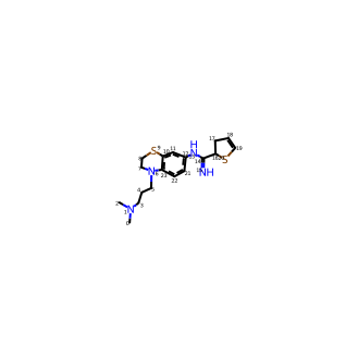 CN(C)CCCN1CCSc2cc(NC(=N)C3CC=CS3)ccc21